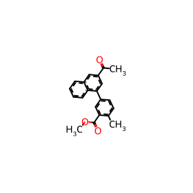 COC(=O)c1cc(-c2cc(C(C)=O)cc3ccccc23)ccc1C